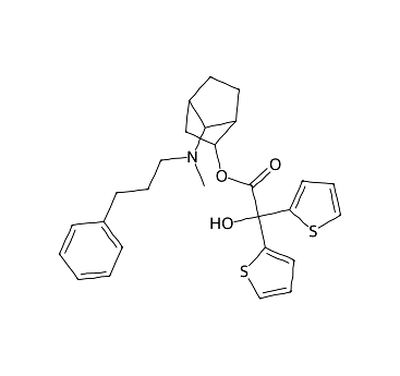 CN(CCCc1ccccc1)C1C2CCC1C(OC(=O)C(O)(c1cccs1)c1cccs1)C2